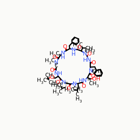 CC(C)CC1C(=O)NC([C@@H](C)O)C(=O)N(C)C(Cc2ccccc2)C(=O)NC(=O)N(C)C(C(C)C)C(=O)NC(Cc2ccccc2)C(=O)N[C@@H](C)C(=O)N(C)CC(=O)NC(COC(C)(C)C)C(=O)N(C)[C@@H](CC(C)C)C(=O)N1C